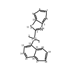 C[Si](C)(c1nc2ccccc2s1)c1cccc2ccccc12